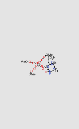 CCC1=C(C)c2cc3[nH]c(c(C)c3CC)c(C#CCCCC(=O)O)c3nc(c4c5[nH]c(cc1n2)c(C)c5C(=O)C4)[C@@H](CCC(=O)OCc1cc(OCCOCCOCCOC)c(OCCOCCOCCOC)c(OCCOCCOCCOC)c1)[C@@H]3C